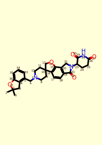 CC1(C)Cc2c(CN3CCC4(CC3)COc3c4ccc4c3CN(C3CCC(=O)NC3=O)C4=O)cccc2O1